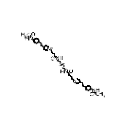 CC(=O)Nc1ccc(/C=C/c2cc[n+](CCCC(=O)NCCSSCCNC(=O)CCC[n+]3ccc(/C=C/c4ccc(NC(C)=O)cc4)cc3)cc2)cc1